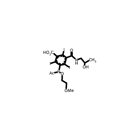 COCCON(C(C)=O)c1c(I)c(C(=O)O)c(I)c(C(=O)NCC(C)O)c1I